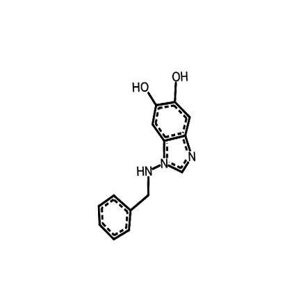 Oc1cc2ncn(NCc3ccccc3)c2cc1O